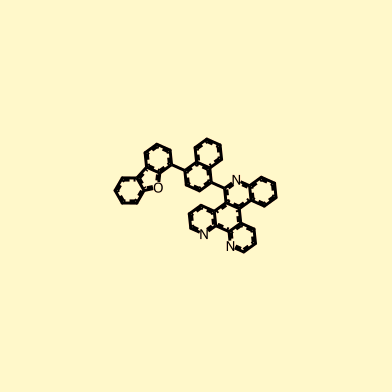 c1ccc2c(c1)nc(-c1ccc(-c3cccc4c3oc3ccccc34)c3ccccc13)c1c3cccnc3c3ncccc3c21